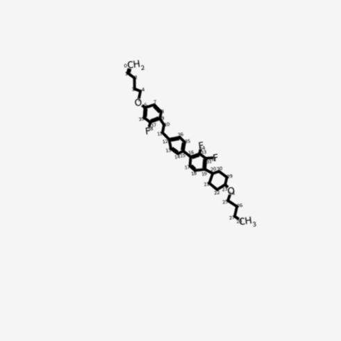 C=CCCCOc1ccc(CCc2ccc(-c3ccc(C4CCC(OCCCC)CC4)c(F)c3F)cc2)c(F)c1